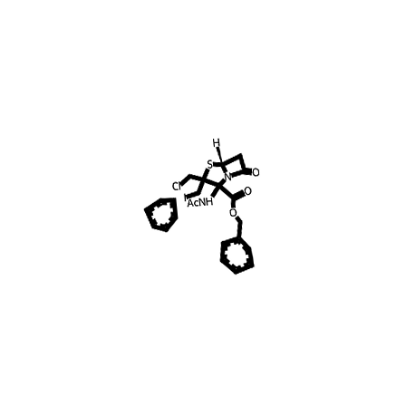 CC(=O)NC1(C(=O)OCc2ccccc2)N2C(=O)C[C@H]2SC1(CCl)CI.c1ccccc1